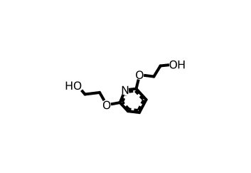 OCCOc1cccc(OCCO)n1